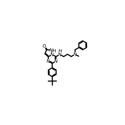 CN(CCCNc1nc(-c2ccc(C(C)(C)C)cc2)nc2cc(=O)[nH]n12)Cc1ccccc1